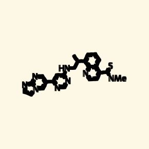 CNC(=S)c1ccnc2c(C(C)CNc3cc(-c4cnc5nccn5c4)ncn3)cccc12